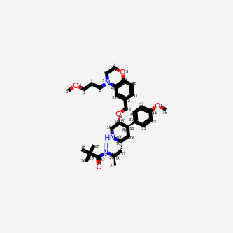 COCCCN1CCOc2ccc(CO[C@H]3CN[C@@H](C[C@@H](C)NC(=O)C(C)(C)C)C[C@@H]3c3ccc(OC)cc3)cc21